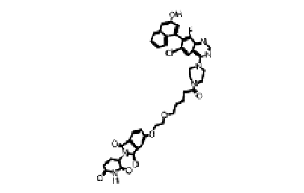 O=C1CCC(N2C(=O)c3ccc(OCCOCCCCC(=O)N4CCN(c5ncnc6c(F)c(-c7cc(O)cc8ccccc78)c(Cl)cc56)CC4)cc3C2=O)C(=O)N1